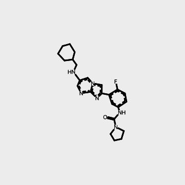 O=C(Nc1ccc(F)c(-c2cn3cc(NCC4CCCCC4)cnc3n2)c1)N1CCCC1